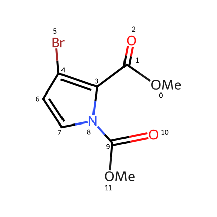 COC(=O)c1c(Br)ccn1C(=O)OC